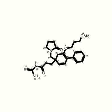 COCCCOC1=C(c2ccccc2)C=CC(CCC(=O)NC(=N)N)(CN2CCCC2=O)C1